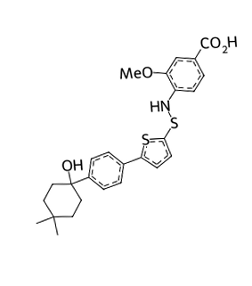 COc1cc(C(=O)O)ccc1NSc1ccc(-c2ccc(C3(O)CCC(C)(C)CC3)cc2)s1